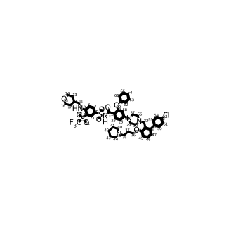 O=C(NS(=O)(=O)c1ccc(NCC2CCOCC2)c(S(=O)(=O)C(F)(F)F)c1)c1ccc(N2CCN(Cc3c(OCCCN4CCCCC4)cccc3-c3ccc(Cl)cc3)CC2)cc1Oc1ccccc1